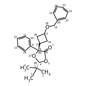 CC(C)(C)[C@H]1OC(=O)[C@](c2ccccc2)(C2CC(OCc3ccccc3)C2)O1